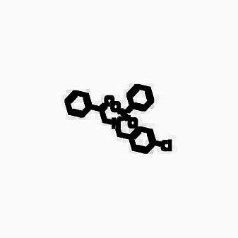 O=C(CN(Cc1ccc(Cl)cc1)S(=O)(=O)c1ccccc1)c1ccccc1